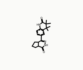 CC1(C)C(=O)Nc2ccc(C3=NNC(=O)C4CCCC34)cc2C1(C)C